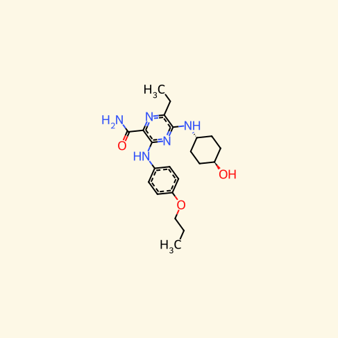 CCCOc1ccc(Nc2nc(N[C@H]3CC[C@H](O)CC3)c(CC)nc2C(N)=O)cc1